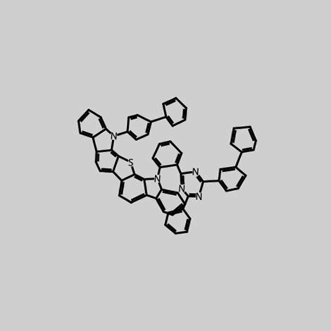 c1ccc(-c2ccc(-n3c4ccccc4c4ccc5c6ccc7c8ccccc8n(-c8ccccc8-c8nc(-c9ccccc9)nc(-c9cccc(-c%10ccccc%10)c9)n8)c7c6sc5c43)cc2)cc1